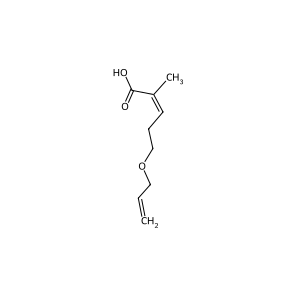 C=CCOCCC=C(C)C(=O)O